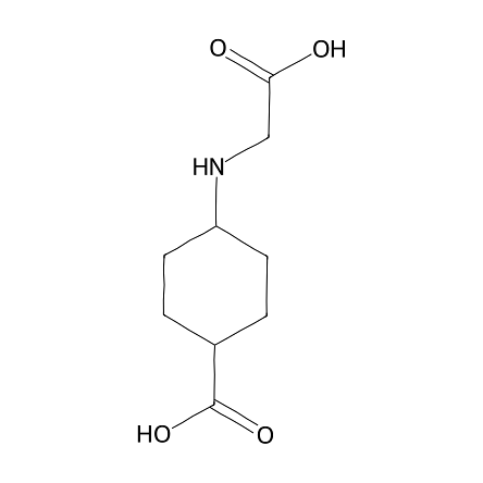 O=C(O)CNC1CCC(C(=O)O)CC1